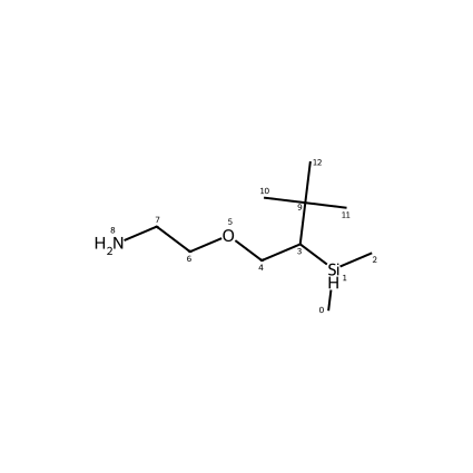 C[SiH](C)C(COCCN)C(C)(C)C